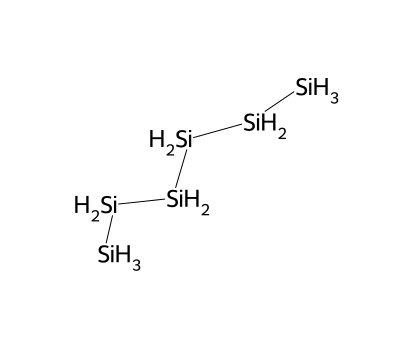 [SiH3][SiH2][SiH2][SiH2][SiH2][SiH3]